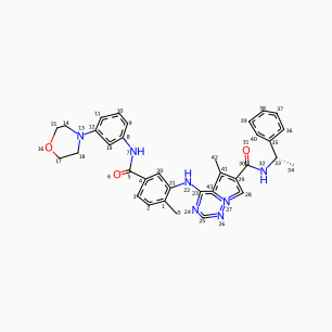 Cc1ccc(C(=O)Nc2cccc(N3CCOCC3)c2)cc1Nc1ncnn2cc(C(=O)N[C@@H](C)c3ccccc3)c(C)c12